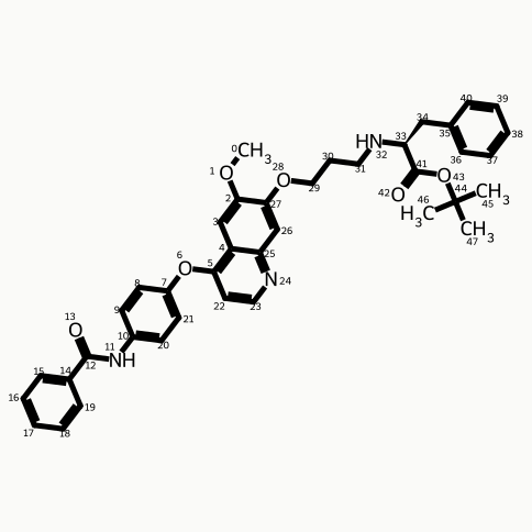 COc1cc2c(Oc3ccc(NC(=O)c4ccccc4)cc3)ccnc2cc1OCCCN[C@@H](Cc1ccccc1)C(=O)OC(C)(C)C